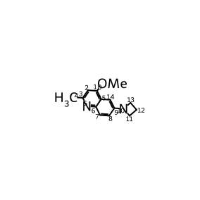 COc1cc(C)nc2ccc(N3CCC3)cc12